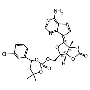 CC1(C)CC(c2cccc(Cl)c2)OP(=O)(OC[C@H]2O[C@@H](n3cnc4c(N)ncnc43)[C@]3(C)OC(=O)O[C@H]23)O1